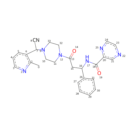 Cc1ncccc1C(C#N)N1CCN(C(=O)CC(NC(=O)c2cnccn2)c2ccccc2)CC1